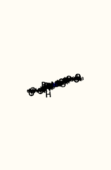 C=CC(=O)OCCCCOc1ccc(C(=O)Nc2ccc(/N=C/c3ccc(OC(=O)c4ccc(OCCCCOC(=O)C=C)cc4)cc3)cc2Br)cc1